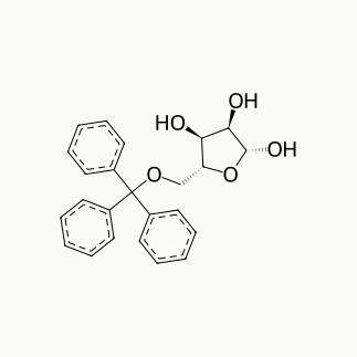 O[C@@H]1[C@H](O)[C@@H](COC(c2ccccc2)(c2ccccc2)c2ccccc2)O[C@H]1O